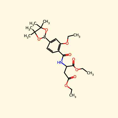 CCOC(=O)CC(NC(=O)c1ccc(B2OC(C)(C)C(C)(C)O2)cc1OCC)C(=O)OCC